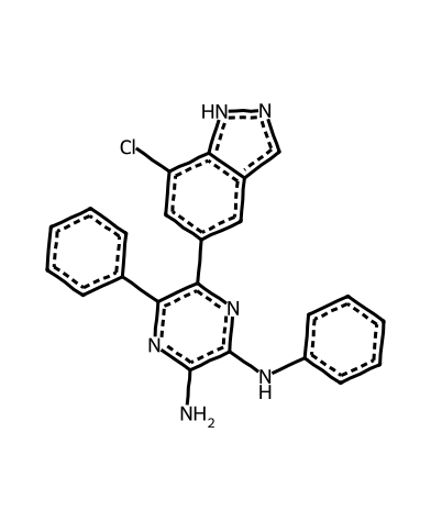 Nc1nc(-c2ccccc2)c(-c2cc(Cl)c3[nH]ncc3c2)nc1Nc1ccccc1